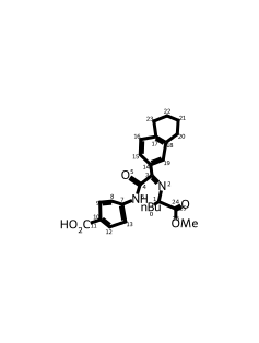 CCCCC(N=C(C(=O)Nc1ccc(C(=O)O)cc1)c1ccc2c(c1)CCCC2)C(=O)OC